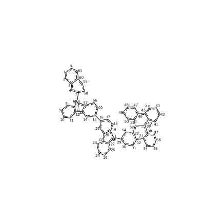 c1ccc2cc(-n3c4ccccc4c4cc(-c5ccc6c(c5)c5ccccc5n6-c5ccc6c7ccccc7c7c8ccccc8c8ccccc8c7c6c5)ccc43)ccc2c1